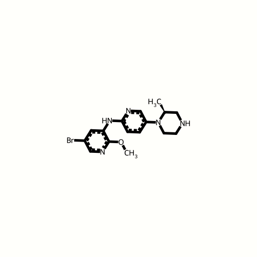 COc1ncc(Br)cc1Nc1ccc(N2CCNC[C@@H]2C)cn1